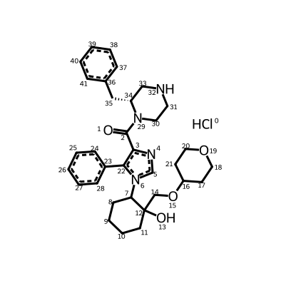 Cl.O=C(c1ncn(C2CCCCC2(O)COC2CCOCC2)c1-c1ccccc1)N1CCNC[C@H]1Cc1ccccc1